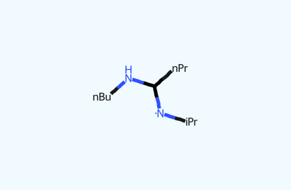 CCCCNC(CCC)[N]C(C)C